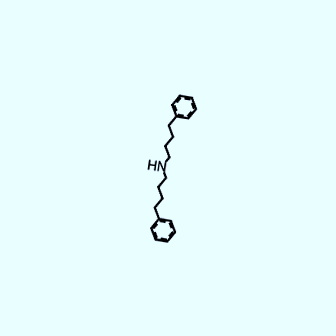 c1ccc(CCCCNCCCCc2ccccc2)cc1